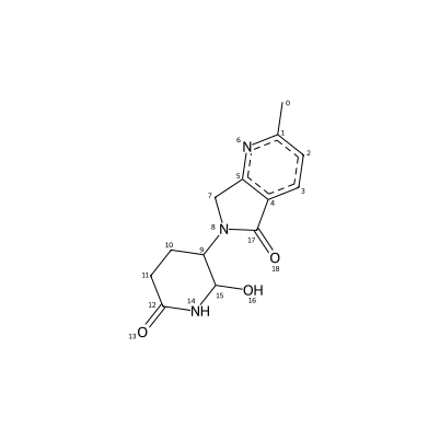 Cc1ccc2c(n1)CN(C1CCC(=O)NC1O)C2=O